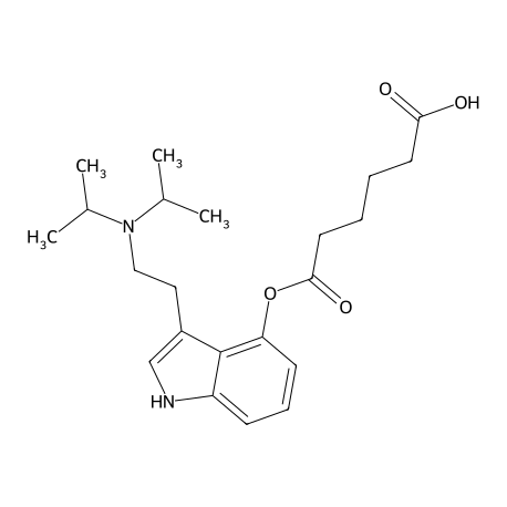 CC(C)N(CCc1c[nH]c2cccc(OC(=O)CCCCC(=O)O)c12)C(C)C